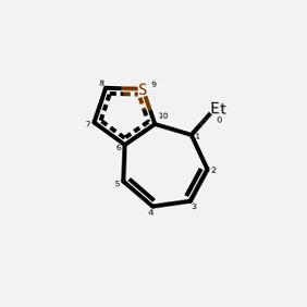 CCC1C=CC=Cc2ccsc21